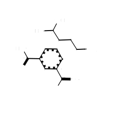 CCCCC(O)O.O=C(O)c1cccc(C(=O)O)c1